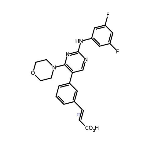 O=C(O)/C=C/c1cccc(-c2cnc(Nc3cc(F)cc(F)c3)nc2N2CCOCC2)c1